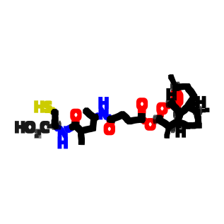 CC(CC(C)C(=O)N[C@@H](CS)C(=O)O)NC(=O)CCC(=O)O[C@@H]1O[C@@H]2O[C@@]3(C)CC[C@H]4[C@H](C)CC[C@@H]([C@H]1C)[C@@]24OO3